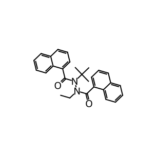 CCN(C(=O)c1cccc2ccccc12)N(C(=O)c1cccc2ccccc12)C(C)(C)C